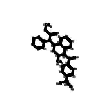 CCC(=O)N(c1ccccc1)C1CC(C)N(C(=O)c2ccc([N+](=O)[O-])cc2)c2ccccc21